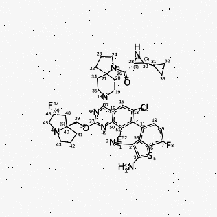 N#Cc1c(N)sc2c(F)ccc(-c3c(Cl)cc4c(N5CCC6(CCCN6C(=O)[C@@H]6N[C@H]6C6CC6)CC5)nc(OC[C@@]56CCCN5C[C@H](F)C6)nc4c3F)c12